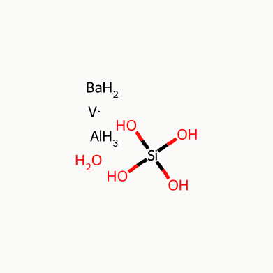 O.O[Si](O)(O)O.[AlH3].[BaH2].[V]